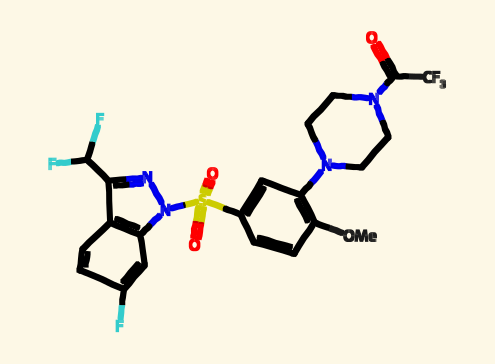 COc1ccc(S(=O)(=O)n2nc(C(F)F)c3ccc(F)cc32)cc1N1CCN(C(=O)C(F)(F)F)CC1